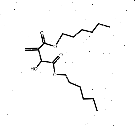 C=C(C(=O)OCCCCCC)C(O)C(=O)OCCCCCC